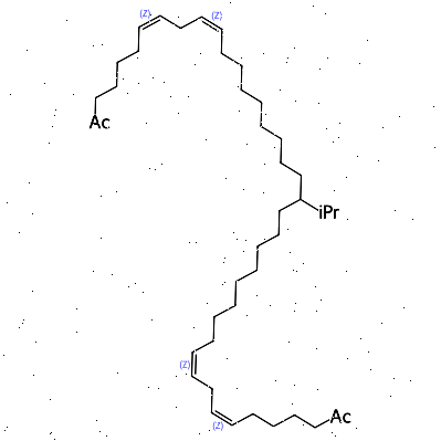 CC(=O)CCCC/C=C\C/C=C\CCCCCCCCC(CCCCCCCC/C=C\C/C=C\CCCCC(C)=O)C(C)C